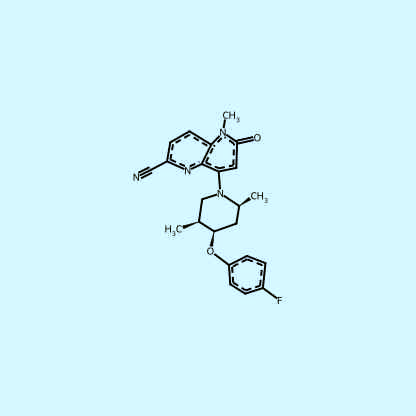 C[C@H]1CN(c2cc(=O)n(C)c3ccc(C#N)nc23)[C@@H](C)C[C@H]1Oc1ccc(F)cc1